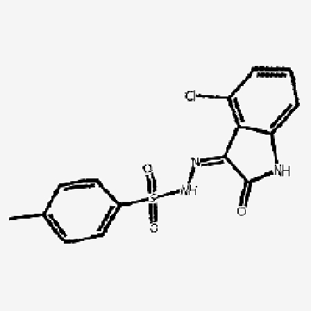 Cc1ccc(S(=O)(=O)NN=C2C(=O)Nc3cccc(Cl)c32)cc1